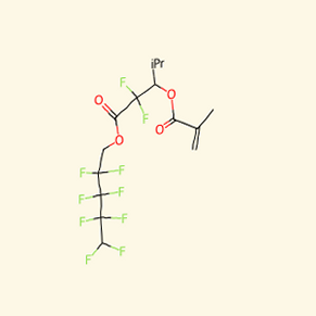 C=C(C)C(=O)OC(C(C)C)C(F)(F)C(=O)OCC(F)(F)C(F)(F)C(F)(F)C(F)F